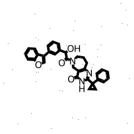 O=C(C(O)c1cccc(-c2coc3ccccc23)c1)N1CCCc2nc(C3(c4ccccc4)CC3)[nH]c(=O)c2C1